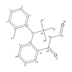 Cc1ccccc1C(c1ccccc1C(=O)CC=O)C(C)(C)C